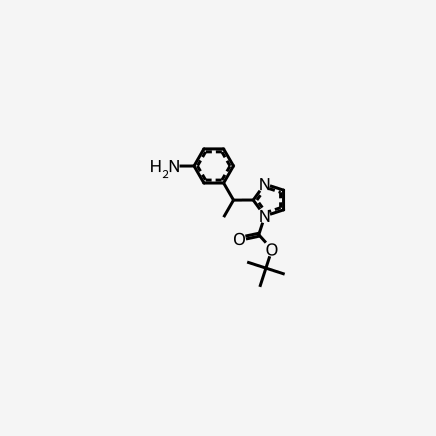 CC(c1cccc(N)c1)c1nccn1C(=O)OC(C)(C)C